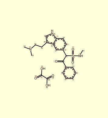 CNS(=O)(=O)C(C(=O)c1ccccc1)c1ccc2[nH]cc(CCN(C)C)c2c1.O=C(O)C(=O)O